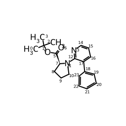 CC(C)(C)OC(=O)[C@@H]1CCCN1c1ncccc1-c1ccccc1